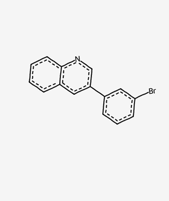 Brc1cccc(-c2cnc3ccccc3c2)c1